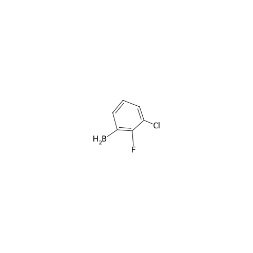 Bc1cccc(Cl)c1F